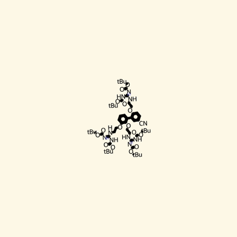 CC(C)(C)OC(=O)/N=C(/NCCOc1ccc(C#N)cc1-c1cccc(OCCN/C(=N\C(=O)OC(C)(C)C)NC(=O)OC(C)(C)C)c1OCCN/C(=N/C(=O)OC(C)(C)C)NC(=O)OC(C)(C)C)NC(=O)OC(C)(C)C